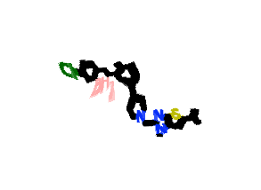 Bc1cc(Cl)ccc1CCc1cc(C2=CCN(Cc3nc4sc(C(=C)C)cc4n3C)CC2)ccc1C